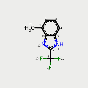 [CH2]c1cccc2[nH]c(C(F)(F)F)nc12